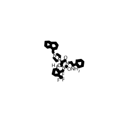 Cc1c(N2CCN(Cc3cccc4ccccc34)CC2)c(=O)n(CC(N)c2ccccc2)c(=O)n1Cc1c(F)cccc1C(F)(F)F